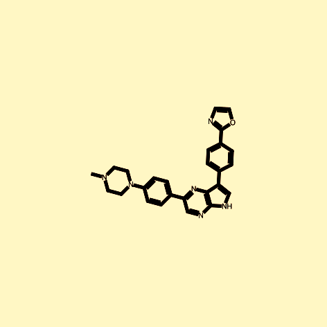 CN1CCN(c2ccc(-c3cnc4[nH]cc(-c5ccc(-c6ncco6)cc5)c4n3)cc2)CC1